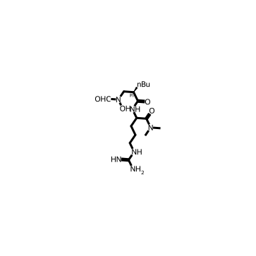 CCCC[C@H](CN(O)C=O)C(=O)NC(CCCNC(=N)N)C(=O)N(C)C